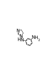 Nc1cccc(NN2C=NCC2)c1